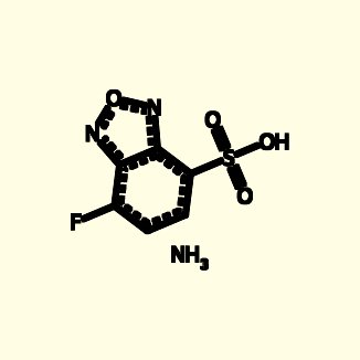 N.O=S(=O)(O)c1ccc(F)c2nonc12